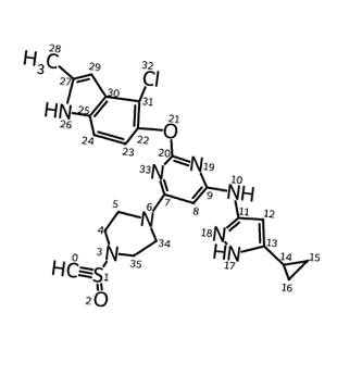 C#S(=O)N1CCN(c2cc(Nc3cc(C4CC4)[nH]n3)nc(Oc3ccc4[nH]c(C)cc4c3Cl)n2)CC1